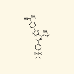 C=N/C(N)=C(\N=C(/C)c1ccc(S(=O)(=O)C(C)C)cc1)c1nnc(-c2ccc(C(=N)N)cc2)o1